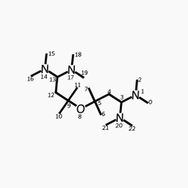 CN(C)C(CC(C)(C)OC(C)(C)CC(N(C)C)N(C)C)N(C)C